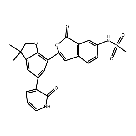 CC1(C)COc2c(-c3cc4ccc(NS(C)(=O)=O)cc4c(=O)o3)cc(-c3ccc[nH]c3=O)cc21